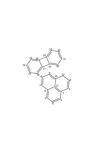 C1=Cc2cccc3cccc(c23)C1.c1ccc2c(c1)-c1ccccc1-2